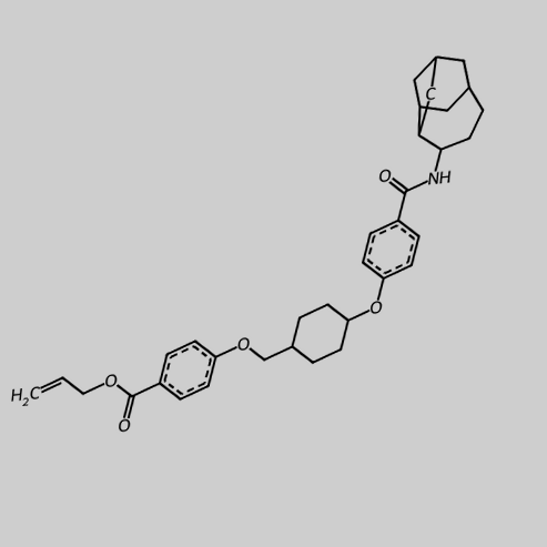 C=CCOC(=O)c1ccc(OCC2CCC(Oc3ccc(C(=O)NC4CCC5CC6CC(C5)C4C6)cc3)CC2)cc1